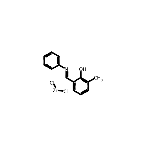 Cc1cccc(C=Nc2ccccc2)c1O.[Cl][Zr][Cl]